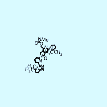 CNC(=O)OCc1nc(N2CCCC2(C)C)cc2c1CN(c1cccc(-c3nnc4n3C(C)(C)CC4)n1)C2=O